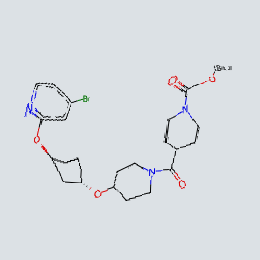 CC(C)(C)OC(=O)N1CCC(C(=O)N2CCC(O[C@H]3C[C@H](Oc4cc(Br)ccn4)C3)CC2)CC1